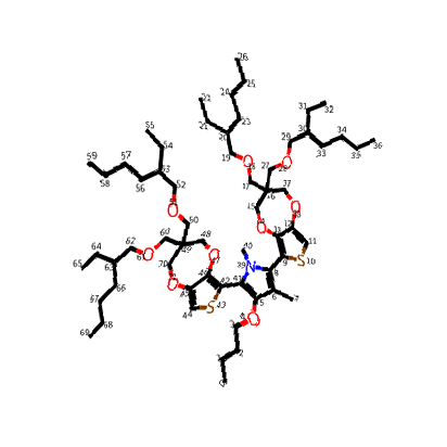 CCCCOc1c(C)c(-c2scc3c2OCC(COCC(CC)CCCC)(COCC(CC)CCCC)CO3)n(C)c1-c1scc2c1OCC(COCC(CC)CCCC)(COCC(CC)CCCC)CO2